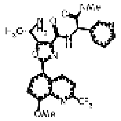 CNC(=O)C(NC(=O)c1nc(-c2ccc(OC)c3nc(C(F)(F)F)ccc23)oc1[C@H](C)N)c1cccnc1